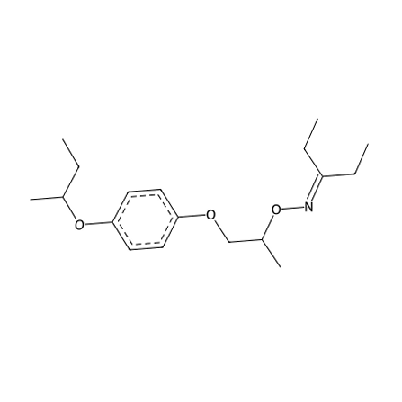 CCC(CC)=NOC(C)COc1ccc(OC(C)CC)cc1